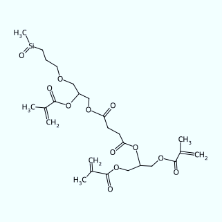 C=C(C)C(=O)OCC(COC(=O)C(=C)C)OC(=O)CCC(=O)OCC(COCCC[Si](C)=O)OC(=O)C(=C)C